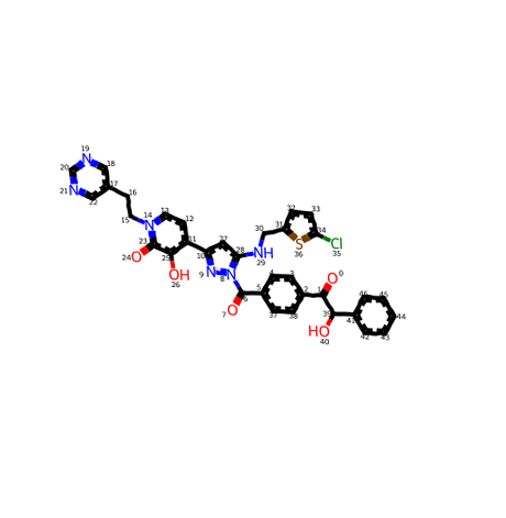 O=C(c1ccc(C(=O)n2nc(-c3ccn(CCc4cncnc4)c(=O)c3O)cc2NCc2ccc(Cl)s2)cc1)C(O)c1ccccc1